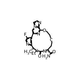 CCN1C(=O)NC(C(N)=O)CCCCCOc2nc(cn3ccnc23)-c2cc(ncc2F)[C@H]1C